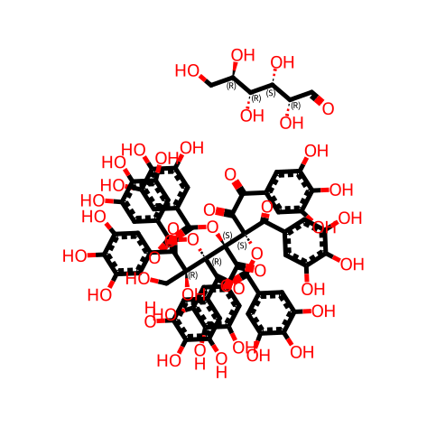 O=C(O[C@](C(=O)C(=O)c1cc(O)c(O)c(O)c1)(C(=O)c1cc(O)c(O)c(O)c1)[C@](OC(=O)c1cc(O)c(O)c(O)c1)(C(=O)c1cc(O)c(O)c(O)c1)[C@@](OC(=O)c1cc(O)c(O)c(O)c1)(C(=O)c1cc(O)c(O)c(O)c1)[C@](O)(CO)C(=O)c1cc(O)c(O)c(O)c1)c1cc(O)c(O)c(O)c1.O=C[C@H](O)[C@@H](O)[C@H](O)[C@H](O)CO